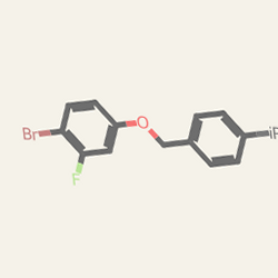 CC(C)c1ccc(COc2ccc(Br)c(F)c2)cc1